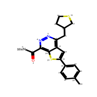 CNC(=O)c1nnc(CC2CCSC2)c2cc(-c3ccc(C)cc3)sc12